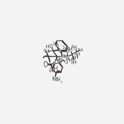 [2H]C(N(C([2H])([2H])C([2H])(C([2H])([2H])[2H])C([2H])([2H])[2H])S(=O)(=O)c1ccc(N)cc1)[C@@]([2H])(O)C(Cc1ccccc1)(NC(=O)O)C(C)(C)C